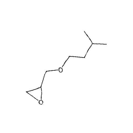 CC(C)CCOCC1CO1